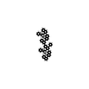 c1ccc(-c2ccc(-c3nc(N4c5c(ccc6ccccc56)-c5cccc6cccc4c56)nc4c3oc3ccccc34)c3ccc(-c4cc5c6c(cccc6c4)N(c4nc(-c6cccc7ccccc67)c6oc7ccccc7c6n4)c4c-5ccc5ccccc45)cc23)cc1